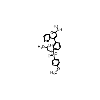 COc1ccc(S(=O)(=O)N(CC(C)C)c2cccc(C(=CC(=O)NO)c3cccnc3)c2)cc1